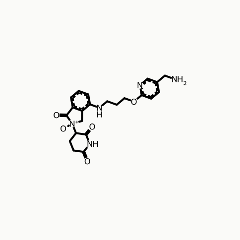 NCc1ccc(OCCCNc2cccc3c2C[N+]([O-])(C2CCC(=O)NC2=O)C3=O)nc1